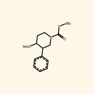 COC1CCN(C(=O)OC(C)(C)C)CC1c1ccccc1